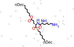 CCCCCCCCCCCCCCCCOC(=O)CC[C@@H](NC(=O)[C@H](N)CCCCN)C(=O)OCCCCCCCCCCCCCCCC